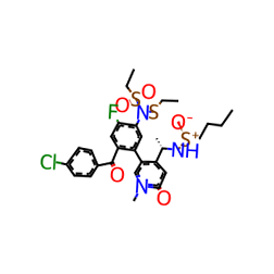 CCCC[S@+]([O-])N[C@@H](C)c1cc(=O)n(C)cc1-c1cc(N(SCC)S(=O)(=O)CC)c(F)cc1C(=O)c1ccc(Cl)cc1